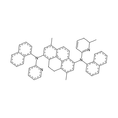 Cc1cc(N(C2=NC(C)CC=C2)c2cccc3ccccc23)c2ccc3c(C)cc(N(c4ccccn4)c4cccc5ccccc45)c4c3c2c1CC4